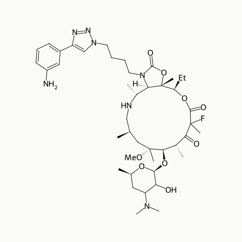 CC[C@H]1OC(=O)C(C)(F)C(=O)[C@H](C)[C@@H](O[C@@H]2O[C@H](C)CC(N(C)C)C2O)[C@](C)(OC)C[C@@H](C)CN[C@H](C)[C@H]2N(CCCCn3cc(-c4cccc(N)c4)nn3)C(=O)O[C@]12C